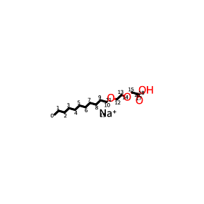 CCCCCCCCCCCOCCOCC(=O)O.[Na+]